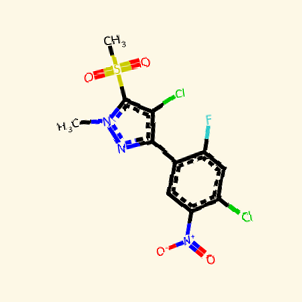 Cn1nc(-c2cc([N+](=O)[O-])c(Cl)cc2F)c(Cl)c1S(C)(=O)=O